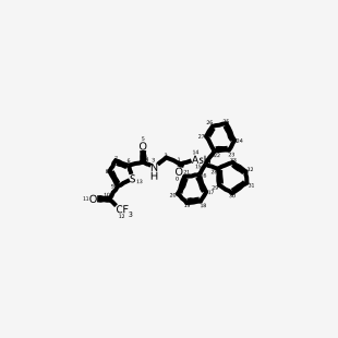 O=C(CNC(=O)c1ccc(C(=O)C(F)(F)F)s1)[AsH]C(c1ccccc1)(c1ccccc1)c1ccccc1